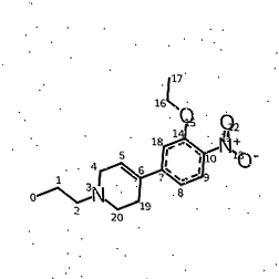 CCCN1CC=C(c2ccc([N+](=O)[O-])c(OCC)c2)CC1